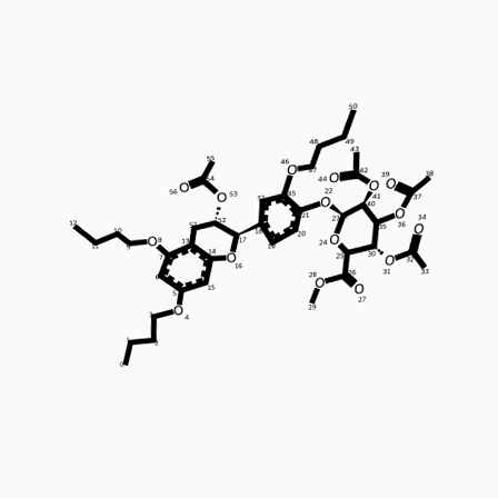 CCCCOc1cc(OCCCC)c2c(c1)O[C@H](c1ccc(O[C@@H]3OC(C(=O)OC)[C@@H](OC(C)=O)C(OC(C)=O)[C@@H]3OC(C)=O)c(OCCCC)c1)[C@@H](OC(C)=O)C2